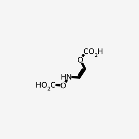 O=C(O)O/C=C\NOC(=O)O